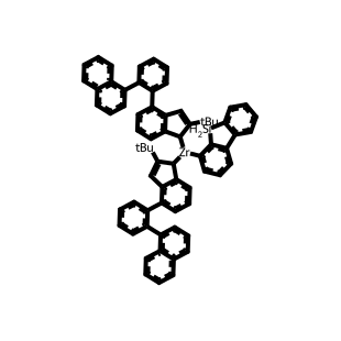 CC(C)(C)C1=Cc2c(-c3ccccc3-c3cccc4ccccc34)cccc2[CH]1[Zr]([c]1cccc2c1[SiH2]c1ccccc1-2)[CH]1C(C(C)(C)C)=Cc2c(-c3ccccc3-c3cccc4ccccc34)cccc21